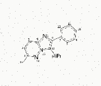 Cc1ccc2nc(-c3ccccc3)c(C(C)C)n2n1